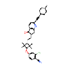 CC1CCC(C#Cc2ccc3c(n2)CC(CC[C@H]2C(C)(C)[C@H](Oc4ccc(C#N)c(Cl)c4)C2(C)C)C3=O)CC1